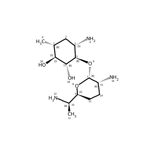 C[C@@H]1C[C@H](N)[C@@H](O[C@H]2O[C@H]([C@@H](C)N)CC[C@H]2N)[C@H](O)[C@H]1O